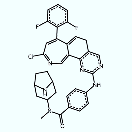 CN(C(=O)c1ccc(Nc2ncc3c(n2)C2=CN=C(Cl)C=C(c4c(F)cccc4F)C2=CC3)cc1)C1CC2CCC(C1)N2